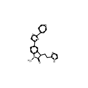 CN1C(=O)C(CCc2ncc[nH]2)c2cc(-c3csc(-c4ccncc4)n3)ccc21